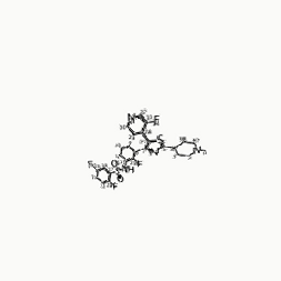 CN1CCC(c2nc(-c3cccc(NS(=O)(=O)c4cc(F)ccc4F)c3F)c(-c3ccncc3F)s2)CC1